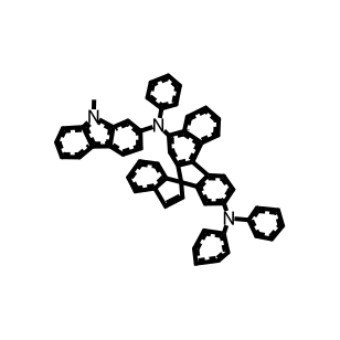 Cn1c2ccccc2c2ccc(N(c3ccccc3)c3cc4c(c5ccccc35)-c3ccc(N(c5ccccc5)c5ccccc5)cc3C43C=Cc4ccccc43)cc21